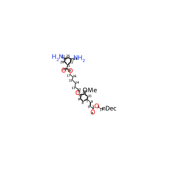 CCCCCCCCCCCOC(=O)C=Cc1ccc(OCCCCCCOC(=O)c2cc(N)cc(N)c2)c(OC)c1